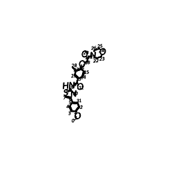 COc1ccc(-c2csc(NC(=O)c3ccc(OCC(=O)N4CCOCC4)c(C)c3)n2)cc1